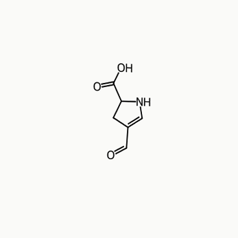 O=CC1=CNC(C(=O)O)C1